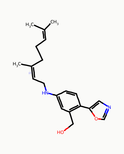 CC(C)=CCC/C(C)=C\CNc1ccc(-c2cnco2)c(CO)c1